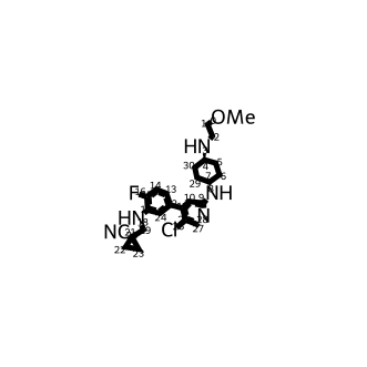 COCCN[C@H]1CC[C@H](Nc2cc(-c3ccc(F)c(NCC4(C#N)CC4)c3)c(Cl)cn2)CC1